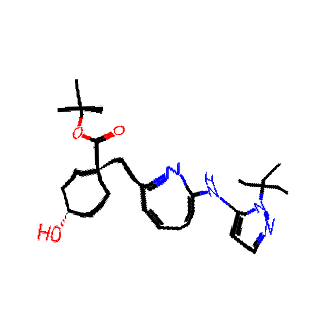 CC(C)(C)OC(=O)[C@]1(Cc2cccc(Nc3ccnn3C(C)(C)C)n2)CC[C@H](O)CC1